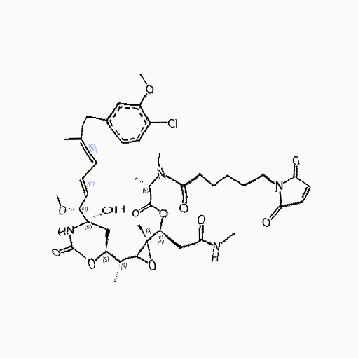 CNC(=O)C[C@H](OC(=O)[C@H](C)N(C)C(=O)CCCCCN1C(=O)C=CC1=O)[C@]1(C)OC1[C@H](C)[C@@H]1C[C@](O)([C@@H](/C=C/C=C(\C)Cc2ccc(Cl)c(OC)c2)OC)NC(=O)O1